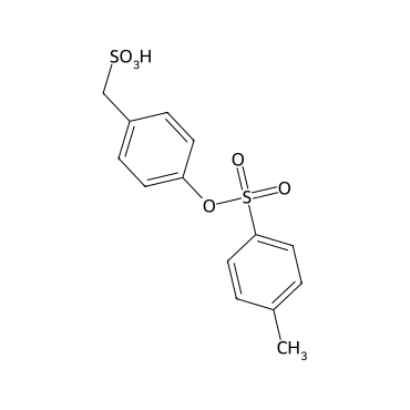 Cc1ccc(S(=O)(=O)Oc2ccc(CS(=O)(=O)O)cc2)cc1